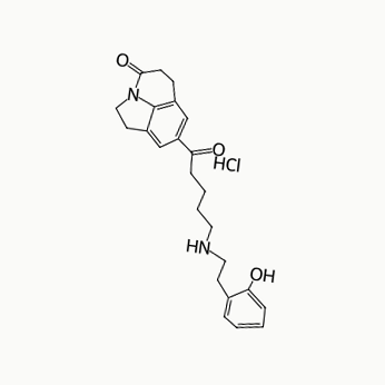 Cl.O=C(CCCCNCCc1ccccc1O)c1cc2c3c(c1)CCN3C(=O)CC2